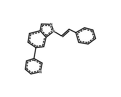 C(=Cn1ncc2ccc(-c3cccnc3)cc21)c1ccccc1